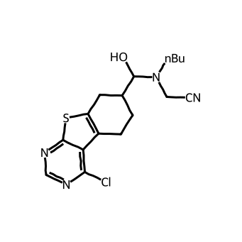 CCCCN(CC#N)C(O)C1CCc2c(sc3ncnc(Cl)c23)C1